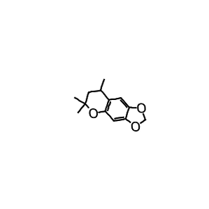 CC1CC(C)(C)Oc2cc3c(cc21)OCO3